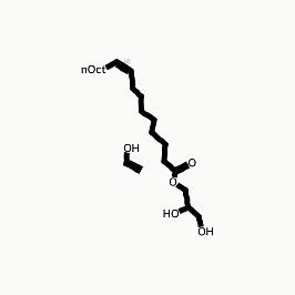 C=CO.CCCCCCCC/C=C\CCCCCCCC(=O)OCC(O)CO